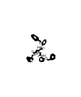 O=C(Cn1nc(C(=O)NCc2cccnc2)cc1C(=O)N[C@H]1CCCC[C@@H]1OCc1ccccc1)N[C@H]1CCCC[C@@H]1OCc1ccccc1